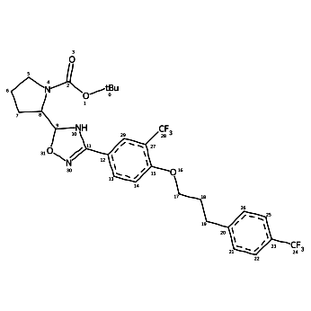 CC(C)(C)OC(=O)N1CCCC1C1NC(c2ccc(OCCCc3ccc(C(F)(F)F)cc3)c(C(F)(F)F)c2)=NO1